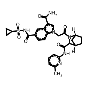 Cc1cccc(NC(=O)C2[C@H]3CC[C@H](C3)N2C(=O)Cn2cc(C(N)=O)c3cc(C(=O)NS(=O)(=O)C4CC4)ccc32)n1